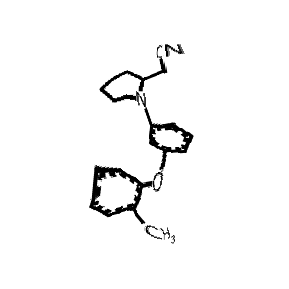 Cc1ccccc1Oc1cccc(N2CCCC2CC#N)c1